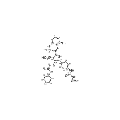 CCOC(=O)N(Cc1c(F)cccc1F)c1sc(-c2ccc(NC(=O)NOC)cc2)c(CCN(C)Cc2ccccc2)c1C(=O)O